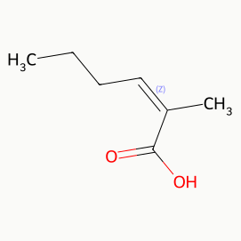 CCC/C=C(/C)C(=O)O